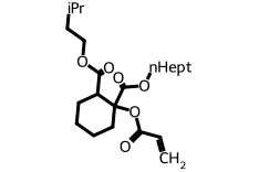 C=CC(=O)OC1(C(=O)OCCCCCCC)CCCCC1C(=O)OCCC(C)C